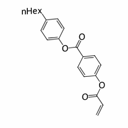 C=CC(=O)Oc1ccc(C(=O)Oc2ccc(CCCCCC)cc2)cc1